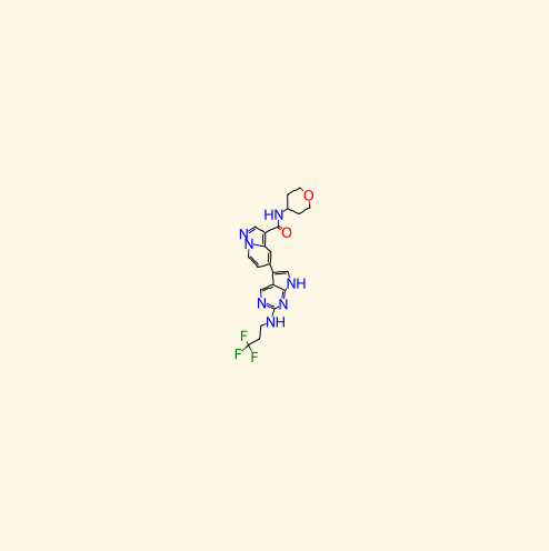 O=C(NC1CCOCC1)c1cnn2ccc(-c3c[nH]c4nc(NCCC(F)(F)F)ncc34)cc12